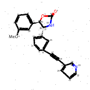 COc1cccc([C@H]2OC(=O)N[C@@H]2c2cccc(C#Cc3cccnc3)c2)c1